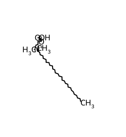 CCCCCCCCCCCCCCCCCCCCCCCCCCCCCC[N+](C)(C)CCCS(=O)(=O)O